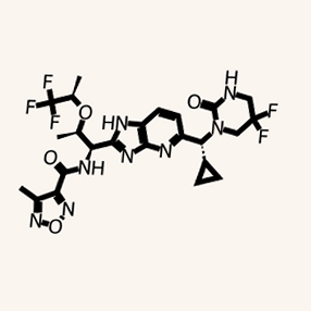 Cc1nonc1C(=O)N[C@H](c1nc2nc([C@@H](C3CC3)N3CC(F)(F)CNC3=O)ccc2[nH]1)[C@@H](C)O[C@H](C)C(F)(F)F